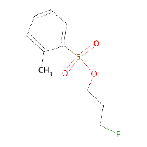 Cc1ccccc1S(=O)(=O)OCCCF